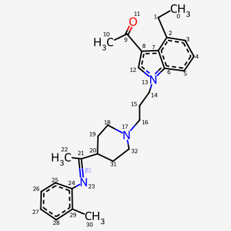 CCc1cccc2c1c(C(C)=O)cn2CCCN1CCC(/C(C)=N/c2ccccc2C)CC1